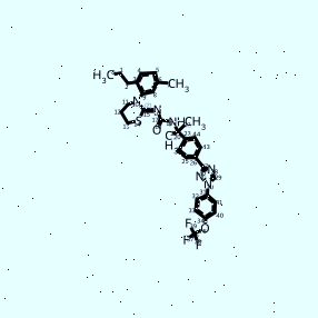 CCCc1ccc(C)cc1N1CCCS/C1=N\C(=O)NC(C)(C)c1ccc(-c2ncn(-c3ccc(OC(F)(F)F)cc3)n2)cc1